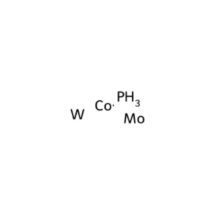 P.[Co].[Mo].[W]